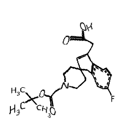 CC(C)(C)OC(=O)N1CCC2(C=C(CC(=O)O)c3ccc(F)cc32)CC1